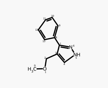 COCc1c[nH]nc1-c1ccccc1